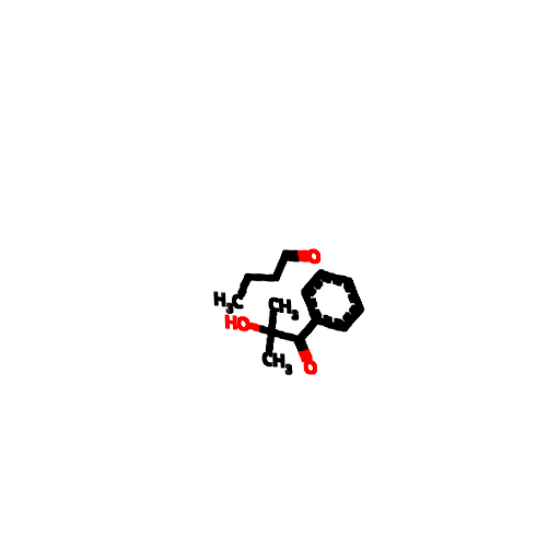 CC(C)(O)C(=O)c1ccccc1.CCCC=O